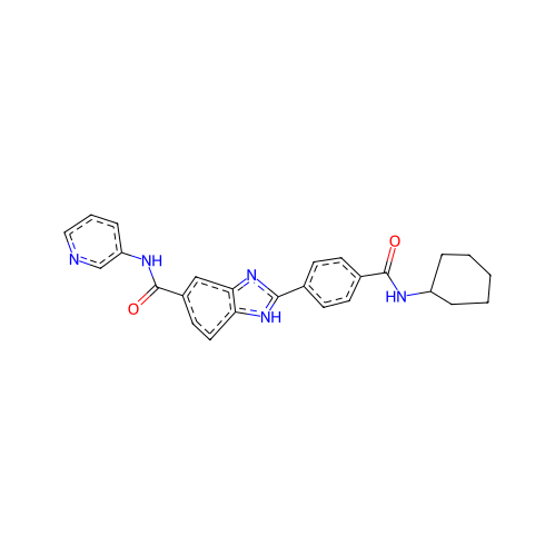 O=C(Nc1cccnc1)c1ccc2[nH]c(-c3ccc(C(=O)NC4CCCCC4)cc3)nc2c1